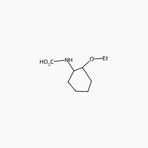 CCOC1CCCCC1NC(=O)O